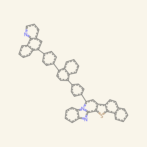 c1ccc2c(c1)ccc1c3cc(-c4ccc(-c5ccc(-c6ccc(-c7cc8cccnc8c8ccccc78)cc6)c6ccccc56)cc4)n4c5ccccc5nc4c3sc21